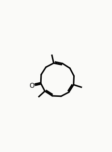 CC1=CCC=C(C)C(=O)CCC(C)=CCC1